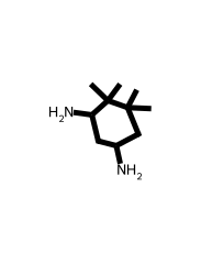 CC1(C)CC(N)CC(N)C1(C)C